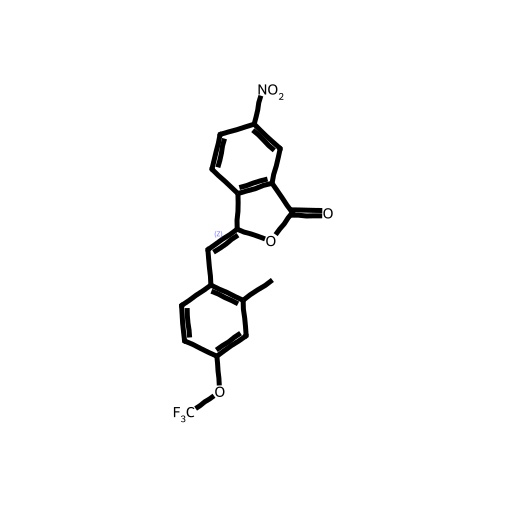 Cc1cc(OC(F)(F)F)ccc1/C=C1\OC(=O)c2cc([N+](=O)[O-])ccc21